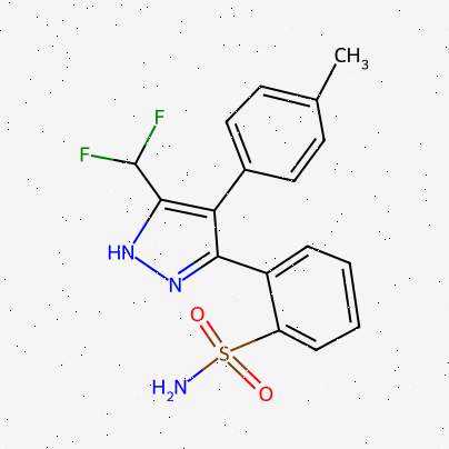 Cc1ccc(-c2c(-c3ccccc3S(N)(=O)=O)n[nH]c2C(F)F)cc1